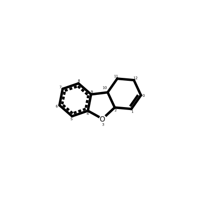 C1=CC2Oc3ccccc3C2CC1